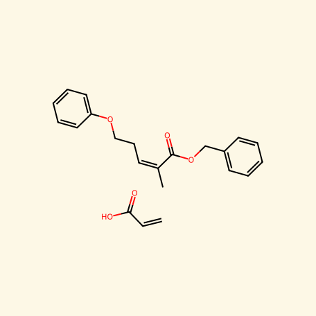 C=CC(=O)O.CC(=CCCOc1ccccc1)C(=O)OCc1ccccc1